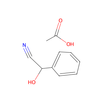 CC(=O)O.N#CC(O)c1ccccc1